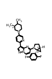 CC1CCN(c2ccc(-c3cnn4ccc(N5CC[C@H]6C[C@]65c5cc(F)ccc5F)nc34)nc2)C[C@H]1C